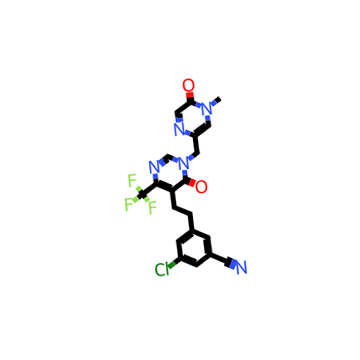 Cn1cc(Cn2cnc(C(F)(F)F)c(CCc3cc(Cl)cc(C#N)c3)c2=O)ncc1=O